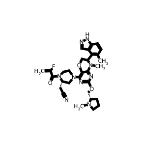 C=C(F)C(=O)N1CCN(c2nc(OC[C@@H]3CCCN3C)nc3c2OCC(c2c(C)ccc4[nH]ncc24)N3C)C[C@@H]1CC#N